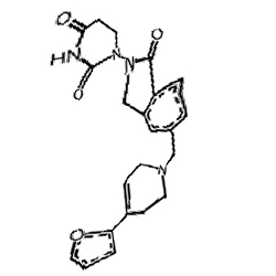 O=C1CCN(N2Cc3cc(CN4CC=C(c5ccco5)CC4)ccc3C2=O)C(=O)N1